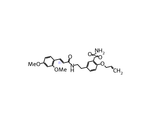 C=CCOc1ccc(CCNC(=O)/C=C/c2ccc(OC)cc2OC)cc1S(N)(=O)=O